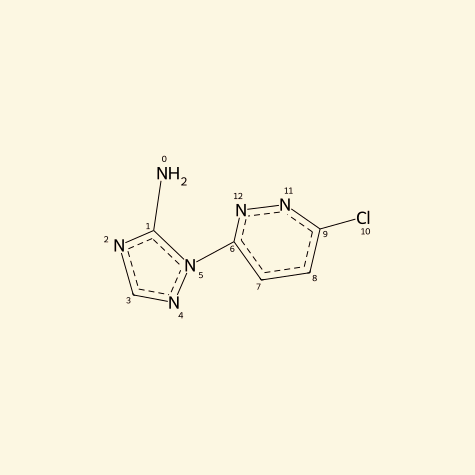 Nc1ncnn1-c1ccc(Cl)nn1